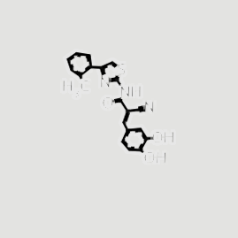 Cc1ccccc1-c1csc(NC(=O)/C(C#N)=C/c2ccc(O)c(O)c2)n1